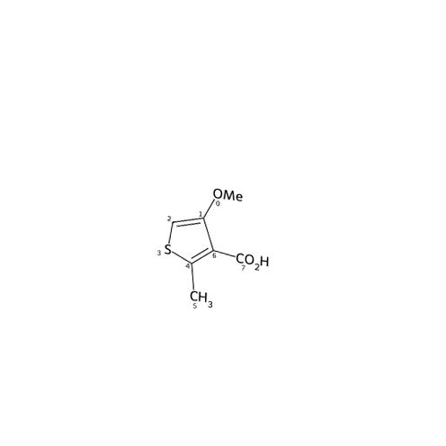 COc1csc(C)c1C(=O)O